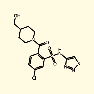 O=C(c1ccc(Cl)cc1S(=O)(=O)Nc1csnn1)N1CCC(CO)CC1